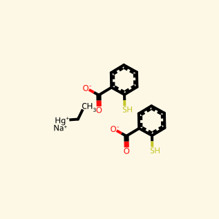 C[CH2][Hg+].O=C([O-])c1ccccc1S.O=C([O-])c1ccccc1S.[Na+]